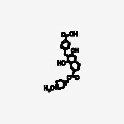 CN1CCN(COC(=O)c2ccc3cc(O)c(Cc4ccc(C(=O)O)cc4)c(O)c3c2)CC1